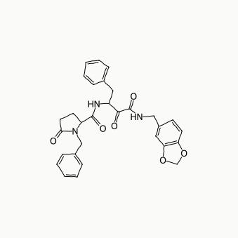 O=C(NCc1ccc2c(c1)OCO2)C(=O)C(Cc1ccccc1)NC(=O)C1CCC(=O)N1Cc1ccccc1